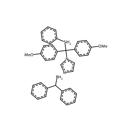 BC(c1ccccc1)c1ccccc1.COc1ccc(C([SiH2]c2ccccc2)(c2ccc(OC)cc2)n2ccnc2)cc1